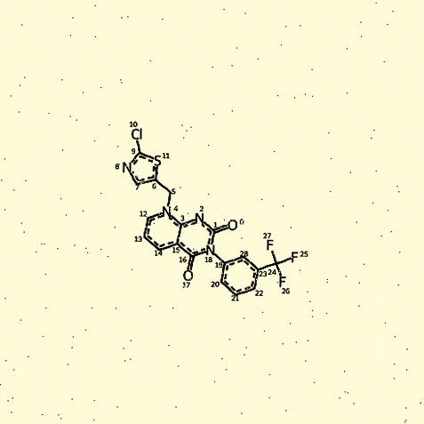 O=c1nc2n(Cc3cnc(Cl)s3)cccc-2c(=O)n1-c1cccc(C(F)(F)F)c1